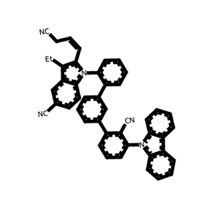 CCc1c(/C=C\CC#N)n(-c2ccccc2-c2cccc(-c3cccc(-n4c5ccccc5c5ccccc54)c3C#N)c2)c2ccc(C#N)cc12